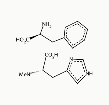 CN[C@@H](Cc1c[nH]cn1)C(=O)O.N[C@@H](Cc1ccccc1)C(=O)O